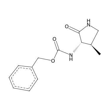 C[C@@H]1CNC(=O)[C@H]1NC(=O)OCc1ccccc1